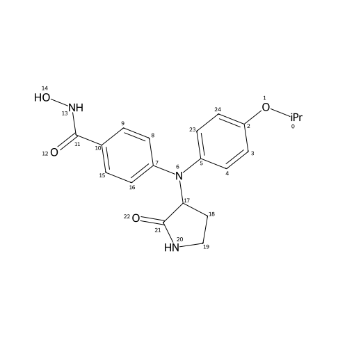 CC(C)Oc1ccc(N(c2ccc(C(=O)NO)cc2)C2CCNC2=O)cc1